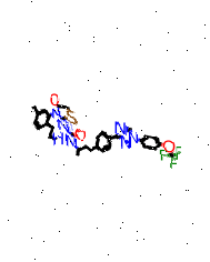 CCCc1ccc(C)cc1N1C(=O)CS/C1=N\C(=O)NC(C)CCc1ccc(-c2ncn(-c3ccc(OC(F)(F)F)cc3)n2)cc1